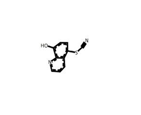 N#CSc1ccc(O)c2ncccc12